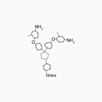 CCCCCCc1ccc(C2CCC(c3ccc(Oc4ccc(N)cc4C)cc3)(c3ccc(Oc4ccc(N)cc4C)cc3)CC2)cc1